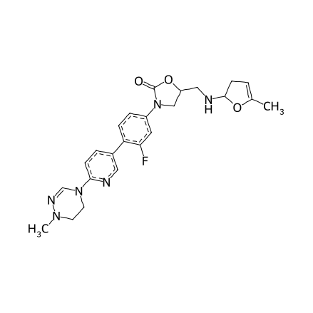 CC1=CCC(NCC2CN(c3ccc(-c4ccc(N5C=NN(C)CC5)nc4)c(F)c3)C(=O)O2)O1